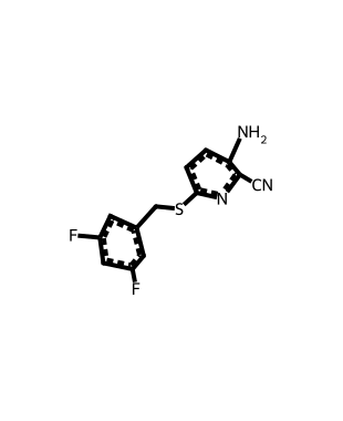 N#Cc1nc(SCc2cc(F)cc(F)c2)ccc1N